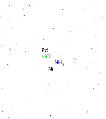 Cl.N.[Ni].[Pd]